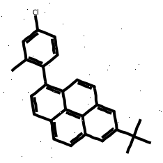 Cc1cc(Cl)ccc1-c1ccc2ccc3cc(C(C)(C)C)cc4ccc1c2c34